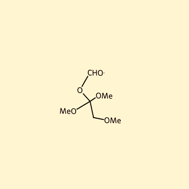 COCC(OC)(OC)O[C]=O